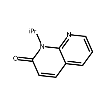 CC(C)n1c(=O)ccc2cccnc21